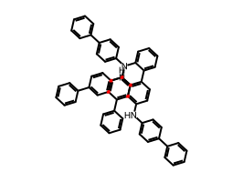 c1ccc(-c2ccc(Nc3ccc(-c4ccccc4N(c4ccc(-c5ccccc5)cc4)c4ccc(-c5ccccc5)cc4)c(Nc4ccc(-c5ccccc5)cc4)c3)cc2)cc1